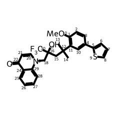 COc1ccc(-c2cccs2)cc1C(C)(C)CC(O)(Cn1ccc(=O)c2ccccc21)C(F)(F)F